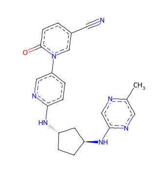 Cc1cnc(N[C@H]2CC[C@H](Nc3ccc(-n4cc(C#N)ccc4=O)cn3)C2)cn1